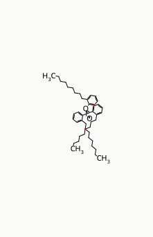 CCCCCCCCCc1ccccc1OP(=O)(c1ccccc1CCCCCCCCC)c1ccccc1CCCCCCCCC